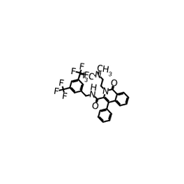 CN(C)CCn1c(C(=O)NCc2cc(C(F)(F)F)cc(C(F)(F)F)c2)c(-c2ccccc2)c2ccccc2c1=O